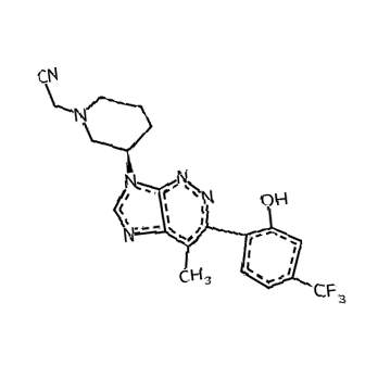 Cc1c(-c2ccc(C(F)(F)F)cc2O)nnc2c1ncn2[C@@H]1CCCN(CC#N)C1